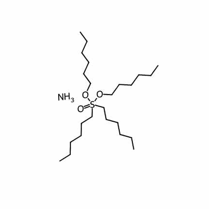 CCCCCCOS(=O)(CCCCCC)(CCCCCC)OCCCCCC.N